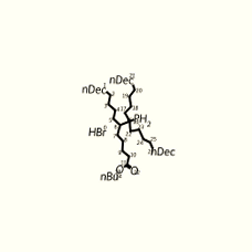 Br.CCCCCCCCCCCCCCC(CCCCC(=O)OCCCC)C(P)(CCCCCCCCCCCCCC)CCCCCCCCCCCCCC